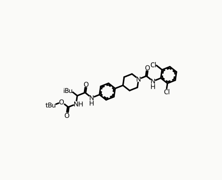 CCC(C)C(NC(=O)OC(C)(C)C)C(=O)Nc1ccc(C2CCN(C(=O)Nc3c(Cl)cccc3Cl)CC2)cc1